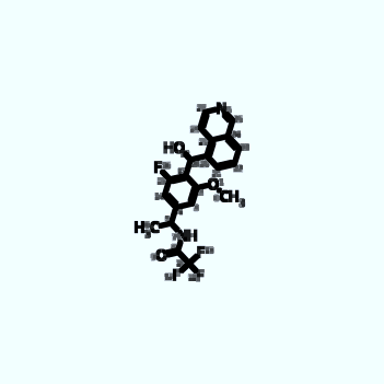 COc1cc(C(C)NC(=O)C(F)(F)F)cc(F)c1C(O)c1cccc2cnccc12